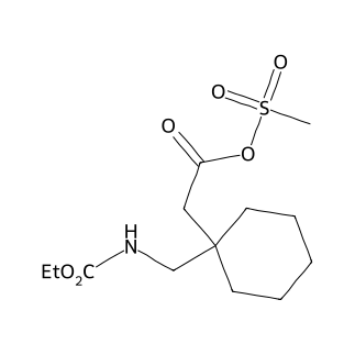 CCOC(=O)NCC1(CC(=O)OS(C)(=O)=O)CCCCC1